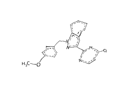 COc1ccc(Cn2nc(-c3nccc(Cl)n3)c3ccccc32)cc1